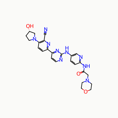 N#Cc1nc(-c2ccnc(Nc3ccc(NC(=O)CN4CCOCC4)nc3)n2)ccc1N1CC[C@H](O)C1